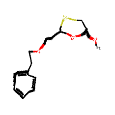 CCOC1CSC(COCc2ccccc2)O1